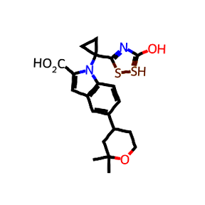 CC1(C)CC(c2ccc3c(c2)cc(C(=O)O)n3C2(C3=NC(O)=[SH]S3)CC2)CCO1